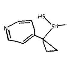 C[SH](S)C1(c2ccncc2)CC1